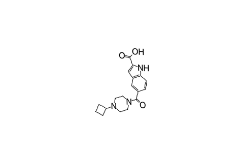 O=C(O)c1cc2cc(C(=O)N3CCN(C4CCC4)CC3)ccc2[nH]1